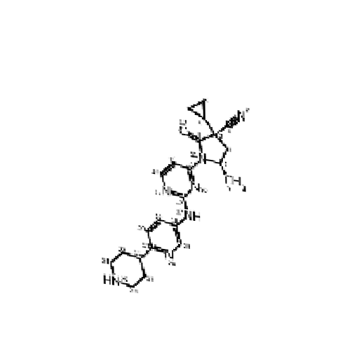 C[C@@H]1C[C@@](C#N)(C2CC2)C(=O)N1c1ccnc(Nc2ccc(C3CCNCC3)nc2)n1